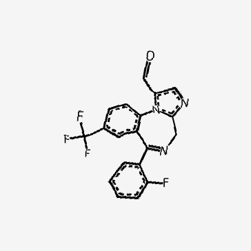 O=Cc1cnc2n1-c1ccc(C(F)(F)F)cc1C(c1ccccc1F)=NC2